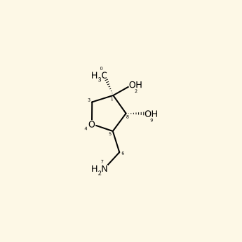 C[C@@]1(O)COC(CN)[C@H]1O